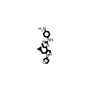 NC1CCC(Nc2nccc(-c3cnn(C4CCOC4)c3CC3CC3)n2)CC1